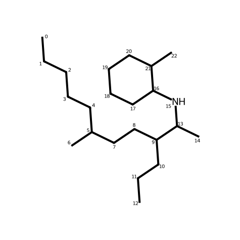 CCCCCC(C)CCC(CCC)C(C)NC1CCCCC1C